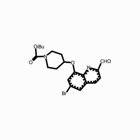 CC(C)COC(=O)N1CCC(Oc2cc(Br)cc3ccc(C=O)nc23)CC1